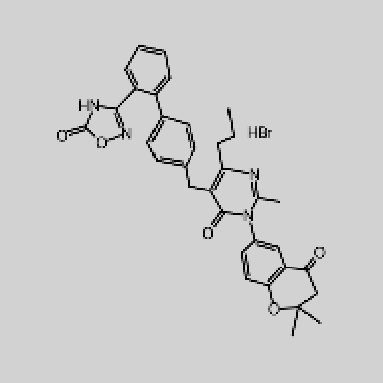 Br.CCCc1nc(C)n(-c2ccc3c(c2)C(=O)CC(C)(C)O3)c(=O)c1Cc1ccc(-c2ccccc2-c2noc(=O)[nH]2)cc1